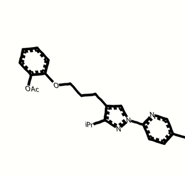 CC(=O)Oc1ccccc1OCCCc1cn(-c2ccc(Cl)cn2)nc1C(C)C